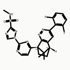 CNS(=O)(=O)c1ncn(-c2nccc([C@@]34CC[C@@H](c5cc(-c6c(F)cccc6F)nnc53)C4(C)C)n2)n1